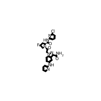 NC(=O)c1nn(CC(=O)N2C[C@H](F)C[C@H]2C(=O)Nc2cccc(Cl)n2)c2ccc(Nc3ccccn3)cc12